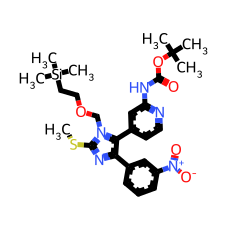 CSc1nc(-c2cccc([N+](=O)[O-])c2)c(-c2ccnc(NC(=O)OC(C)(C)C)c2)n1COCC[Si](C)(C)C